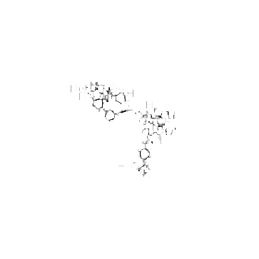 Cc1ccc(S(=O)(=O)N2CC[C@@H]3[C@H](CO)Nc4ccc(-c5cccc(C#CCCCC(=O)N[C@H](C(=O)N6C[C@H](O)C[C@H]6C(=O)NCc6ccc(-c7scnc7C)cc6)C(C)(C)C)c5)cc4[C@@H]32)cc1